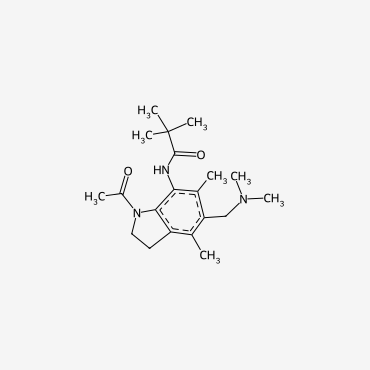 CC(=O)N1CCc2c(C)c(CN(C)C)c(C)c(NC(=O)C(C)(C)C)c21